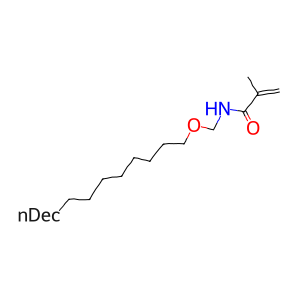 C=C(C)C(=O)NCOCCCCCCCCCCCCCCCCCC